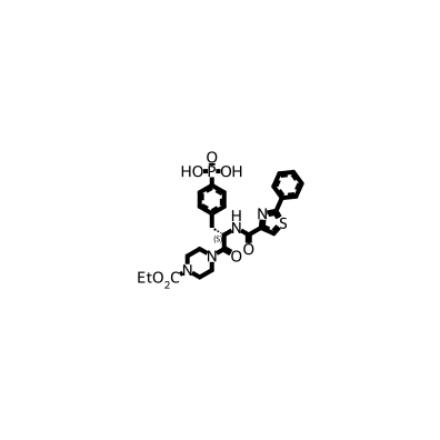 CCOC(=O)N1CCN(C(=O)[C@H](Cc2ccc(P(=O)(O)O)cc2)NC(=O)c2csc(-c3ccccc3)n2)CC1